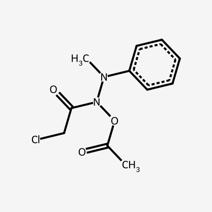 CC(=O)ON(C(=O)CCl)N(C)c1ccccc1